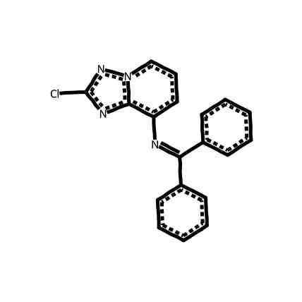 Clc1nc2c(N=C(c3ccccc3)c3ccccc3)cccn2n1